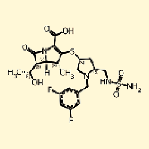 C[C@@H](O)[C@H]1C(=O)N2C(C(=O)O)=C(S[C@H]3C[C@@H](CNS(N)(=O)=O)N(Cc4cc(F)cc(F)c4)C3)[C@H](C)[C@H]12